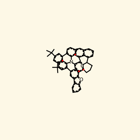 CC(C)(C)c1cc(-c2ccccc2N(c2ccccc2-c2ccc3oc4ccccc4c3c2)c2ccccc2-c2cccc3cccc(C4CCCCC4)c23)cc(C(C)(C)C)c1